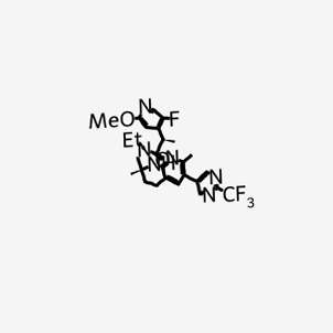 CCN(C[C@@]1(C)CCc2cc(-c3cnc(C(F)(F)F)nc3)c(C)nc2N1)C(=O)[C@H](C)c1cc(OC)ncc1F